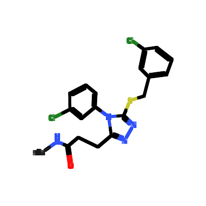 CCCCNC(=O)CCc1nnc(SCc2cccc(Cl)c2)n1-c1cccc(Cl)c1